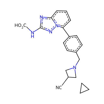 C1CC1.N#CC1CN(Cc2ccc(-c3cccc4nc(NC(=O)O)nn34)cc2)C1